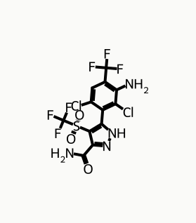 NC(=O)c1n[nH]c(-c2c(Cl)cc(C(F)(F)F)c(N)c2Cl)c1S(=O)(=O)C(F)(F)F